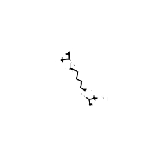 CC1(C)SC(=O)C1NC(=O)CCCCC(=O)NC1C(=O)SC1(C)C